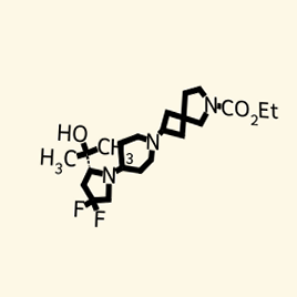 CCOC(=O)N1CCC2(CC(N3CCC(N4CC(F)(F)C[C@@H]4C(C)(C)O)CC3)C2)C1